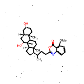 COc1cccc2nc(CC[C@@H](C)[C@H]3CC[C@H]4[C@H]5C(CC[C@]34C)[C@@]3(C)CC[C@@H](O)C[C@H]3C[C@H]5O)oc(=O)c12